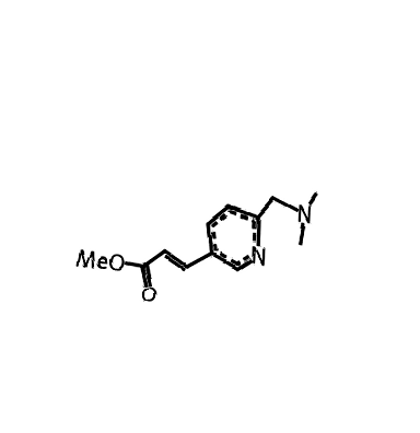 COC(=O)/C=C/c1ccc(CN(C)C)nc1